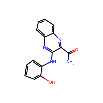 NC(=O)c1nc2ccccc2nc1Nc1ccccc1O